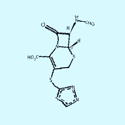 O=CN[C@@H]1C(=O)N2C(C(=O)O)=C(Sc3nncs3)CS[C@@H]12